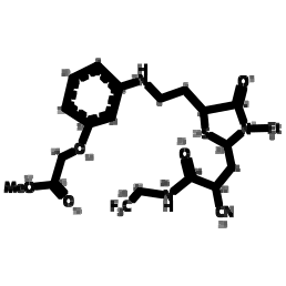 CCN1C(=O)C(CCNc2cccc(OCC(=O)OC)c2)SC1CC(C#N)C(=O)NCC(F)(F)F